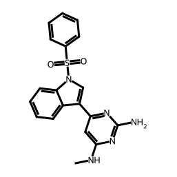 CNc1cc(-c2cn(S(=O)(=O)c3ccccc3)c3ccccc23)nc(N)n1